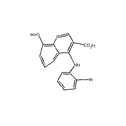 CCOC(=O)c1cnc2c(OC)cccc2c1Nc1ccccc1C(C)C